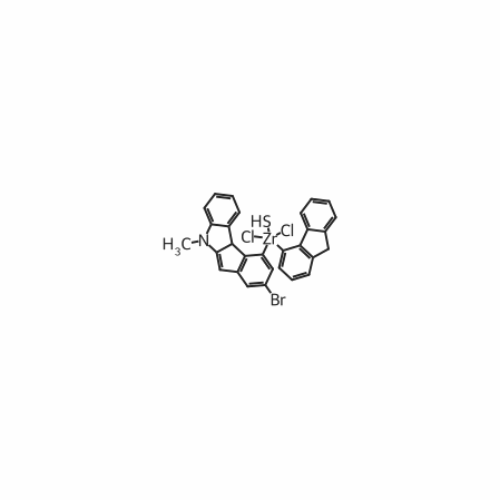 CN1C2=Cc3cc(Br)c[c]([Zr]([SH])([Cl])([Cl])[c]4cccc5c4-c4ccccc4C5)c3C2c2ccccc21